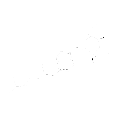 CC(C)NCCC(O)Oc1ccc(O[C@@]2(O)O[C@H](CO)[C@@H](O)[C@H](O)[C@H]2O)cc1